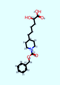 O=C(O)C(O)CCCCC1CCN(C(=O)OCc2ccccc2)CC1